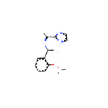 CC(=NC(C)c1ccccc1O[SiH](C)C)c1ncc[nH]1